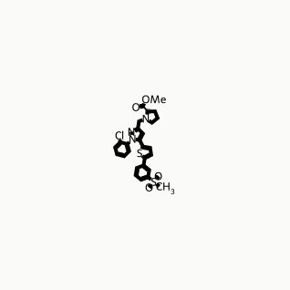 COC(=O)[C@H]1CCCN1Cc1cc(-c2ccc(-c3cccc(S(C)(=O)=O)c3)s2)n(-c2ccccc2Cl)n1